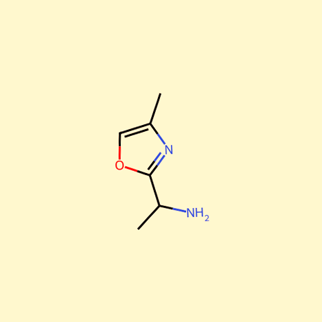 Cc1coc(C(C)N)n1